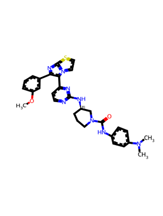 COc1cccc(-c2nc3sccn3c2-c2ccnc(N[C@@H]3CCCN(C(=O)Nc4ccc(N(C)C)cc4)C3)n2)c1